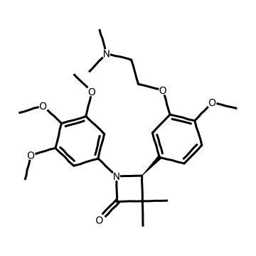 COc1ccc([C@@H]2N(c3cc(OC)c(OC)c(OC)c3)C(=O)C2(C)C)cc1OCCN(C)C